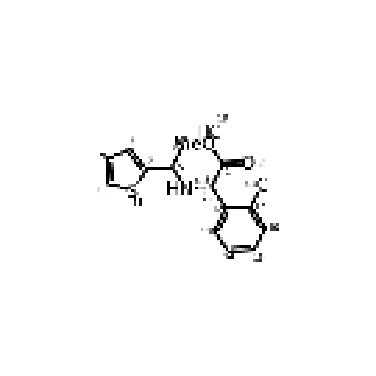 COC(=O)[C@@H](NC(C)c1cccs1)c1ccccc1Cl.Cl